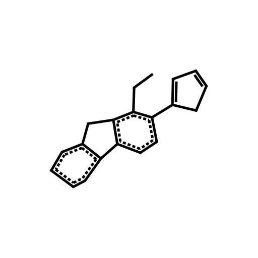 CCc1c(C2=CC=CC2)ccc2c1Cc1ccccc1-2